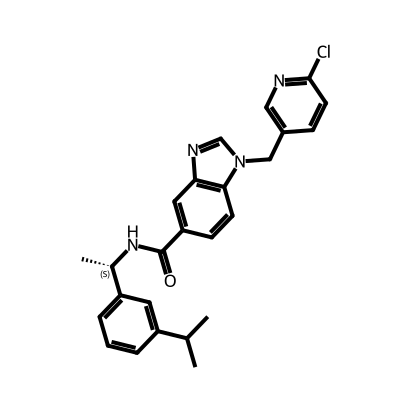 CC(C)c1cccc([C@H](C)NC(=O)c2ccc3c(c2)ncn3Cc2ccc(Cl)nc2)c1